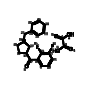 O=C(O)C(=O)O.O=C(c1cccc(F)c1F)C1CCN(Cc2ccccc2)C1